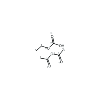 CC(=O)OC(C)=O.CCOC(=O)O